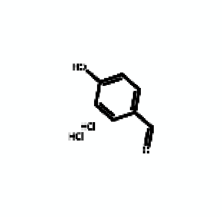 Cl.Cl.O=Cc1ccc(O)cc1